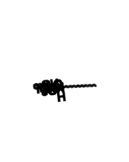 CCCCCCCCCCCCCCCCCCNC(=O)OCC(COP(O)Oc1ccccc1C[n+]1cccc2ccccc21)OC